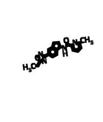 CCc1nc(-c2ccc3c(c2)CC[C@H]3NC(=O)c2cccc(C)n2)no1